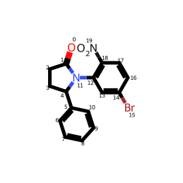 O=C1CCC(c2ccccc2)N1c1cc(Br)ccc1[N+](=O)[O-]